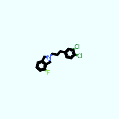 Fc1cccc2c1CN(CCCc1ccc(Cl)c(Cl)c1)C2